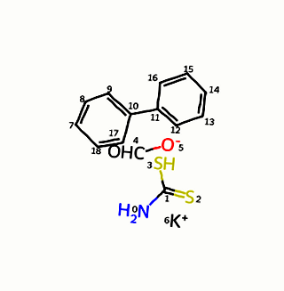 NC(=S)S.O=C[O-].[K+].c1ccc(-c2ccccc2)cc1